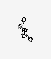 c1ccc(Cn2ccnc2-c2cccc(-c3nccn3Cc3ccccc3)n2)cc1